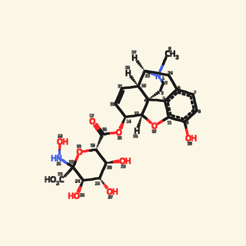 CN1CC[C@]23c4c5ccc(O)c4O[C@H]2[C@@H](OC(=O)[C@H]2OC(NO)(C(=O)O)[C@H](O)[C@@H](O)[C@@H]2O)C=C[C@H]3[C@H]1C5